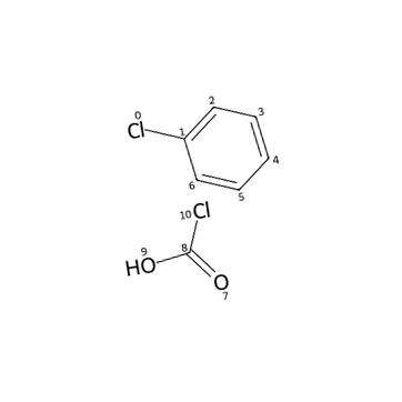 Clc1ccccc1.O=C(O)Cl